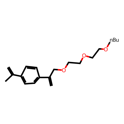 C=C(C)c1ccc(C(=C)COCCOCCOCCCC)cc1